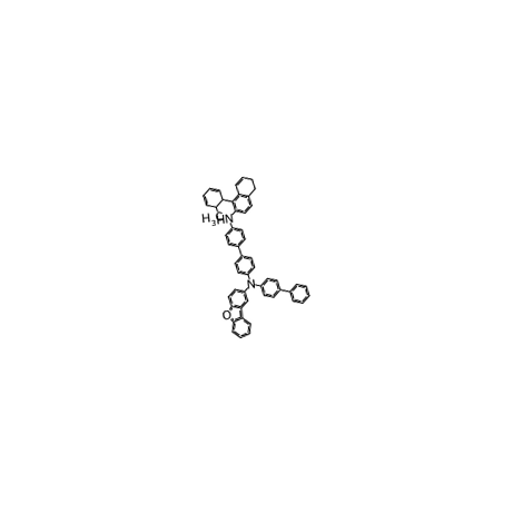 CC1C=CC=CC1c1c(Nc2ccc(-c3ccc(N(c4ccc(-c5ccccc5)cc4)c4ccc5oc6ccccc6c5c4)cc3)cc2)ccc2c1C=CCC2